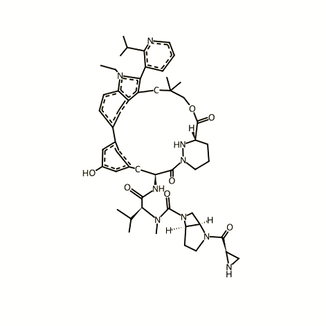 CCn1c(-c2cccnc2C(C)C)c2c3cc(ccc31)-c1cc(O)cc(c1)C[C@H](NC(=O)[C@H](C(C)C)N(C)C(=O)N1C[C@@H]3[C@H]1CCN3C(=O)[C@H]1CN1)C(=O)N1CCC[C@H](N1)C(=O)OCC(C)(C)C2